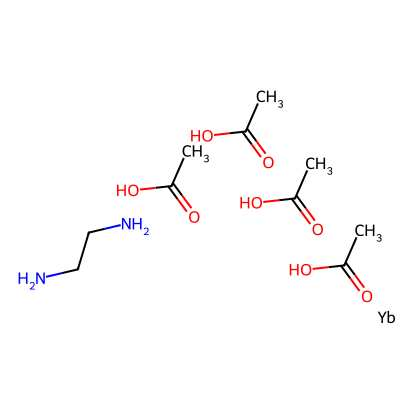 CC(=O)O.CC(=O)O.CC(=O)O.CC(=O)O.NCCN.[Yb]